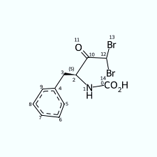 O=C(O)N[C@@H](Cc1ccccc1)C(=O)C(Br)Br